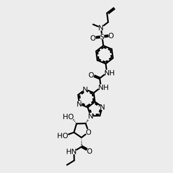 C=CCN(C)S(=O)(=O)c1ccc(NC(=O)Nc2ncnc3c2ncn3[C@@H]2O[C@H](C(=O)NCC)C(O)[C@@H]2O)cc1